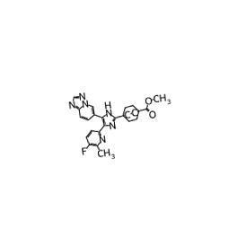 COC(=O)C12CCC(c3nc(-c4ccc(F)c(C)n4)c(-c4ccc5ncnn5c4)[nH]3)(CC1)CC2